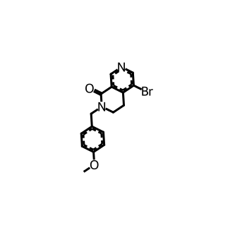 COc1ccc(CN2CCc3c(Br)cncc3C2=O)cc1